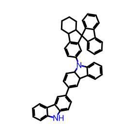 C1=CC2C(C=C1c1ccc3[nH]c4ccccc4c3c1)c1ccccc1N2c1ccc2c(c1)C1(c3ccccc3-c3ccccc31)C1CCCCC21